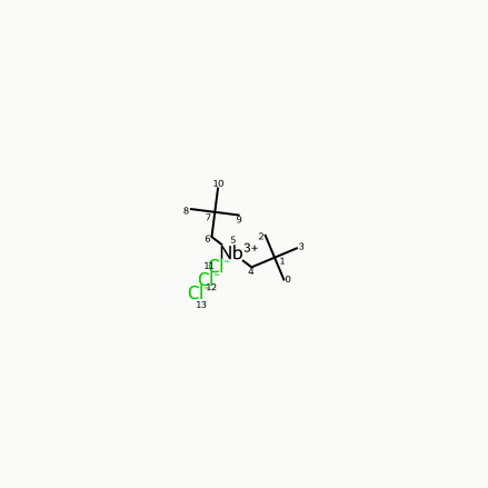 CC(C)(C)[CH2][Nb+3][CH2]C(C)(C)C.[Cl-].[Cl-].[Cl-]